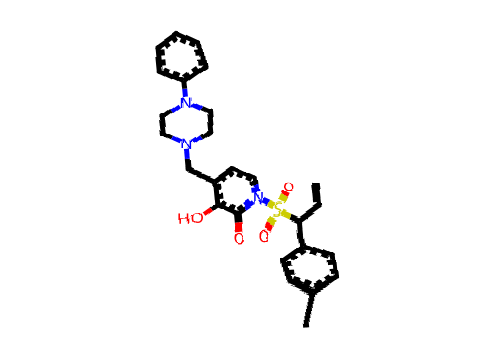 C=CC(c1ccc(C)cc1)S(=O)(=O)n1ccc(CN2CCN(c3ccccc3)CC2)c(O)c1=O